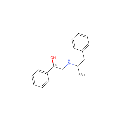 CCCCC(Cc1ccccc1)NC[C@H](O)c1ccccc1